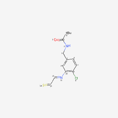 CC(C)(C)C(=O)NCc1ccc(Cl)c(N=CC=S)c1